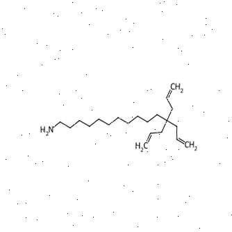 C=CCC(CC=C)(CC=C)CCCCCCCCCCCN